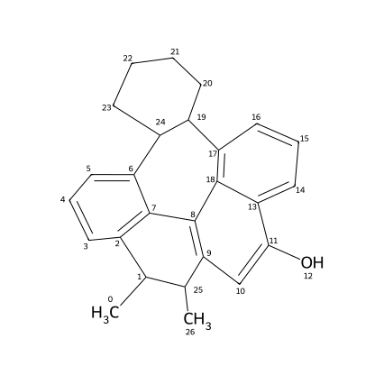 CC1c2cccc3c2-c2c(cc(O)c4cccc(c24)C2CCCCC32)C1C